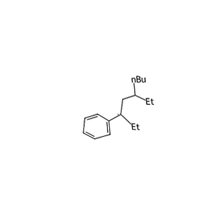 CCCCC(CC)C[C](CC)c1ccccc1